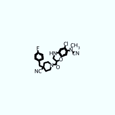 CN(C#N)c1cc2c(cc1Cl)NCC(C(=O)N1CCC(C#N)(Cc3ccc(F)cc3)CC1)O2